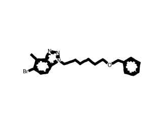 Cc1c(Br)ccc2c1nnn2CCCCCCOCc1ccccc1